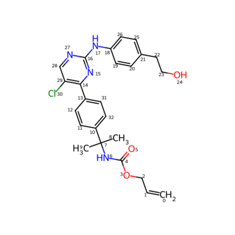 C=CCOC(=O)NC(C)(C)c1ccc(-c2nc(Nc3ccc(CCO)cc3)ncc2Cl)cc1